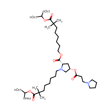 CCCCCCCCC(CCCCCC)OC(=O)C(C)(C)CCCCCCN1C[C@@H](OC(=O)CCN2CCCC2)C[C@H]1C(=O)OCCCCCCC(C)(C)C(=O)OC(CCCCCCCC)CCCCCCCC